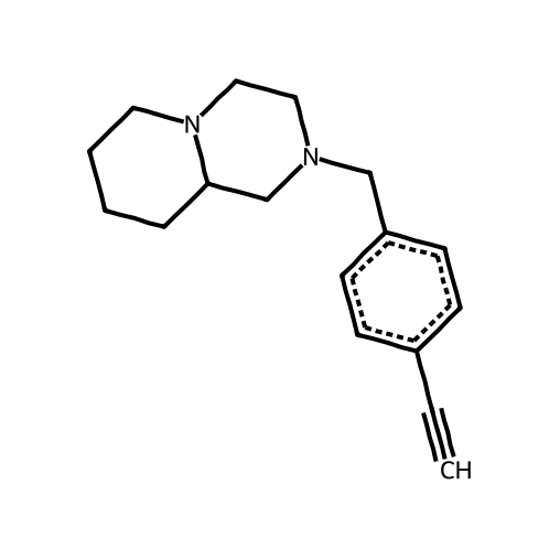 C#Cc1ccc(CN2CCN3CCCCC3C2)cc1